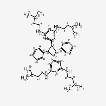 CC(C)CCNc1cc([C@H]2[C@H](c3ccccc3)[C@H](c3cc(NCCC(C)C)nc(NCCC(C)C)n3)[C@H]2c2ccccc2)nc(NCCC(C)C)n1